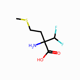 CSCCC(N)(C(=O)O)C(F)F